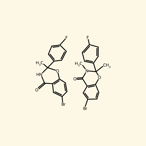 CC1(c2ccc(F)cc2)NC(=O)c2cc(Br)ccc2O1.CN1C(=O)c2cc(Br)ccc2OC1(C)c1ccc(F)cc1